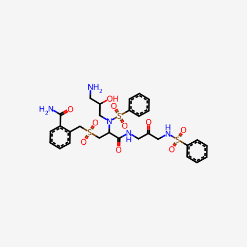 NCC(O)CN(C(CS(=O)(=O)Cc1ccccc1C(N)=O)C(=O)NCC(=O)CNS(=O)(=O)c1ccccc1)S(=O)(=O)c1ccccc1